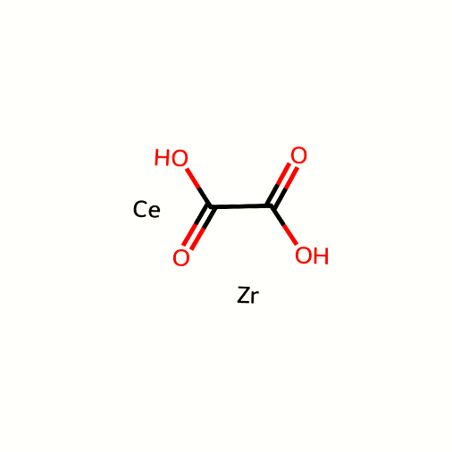 O=C(O)C(=O)O.[Ce].[Zr]